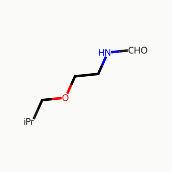 CC(C)COCCNC=O